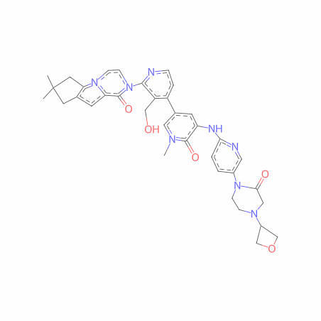 Cn1cc(-c2ccnc(-n3ccn4c5c(cc4c3=O)CC(C)(C)C5)c2CO)cc(Nc2ccc(N3CCN(C4COC4)CC3=O)cn2)c1=O